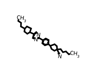 CCCCCC1(C#N)CCC(c2ccc(-c3ncc(C4CCC(CCCC)CC4)cn3)cc2)CC1